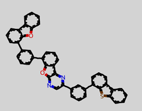 c1cc(-c2cccc3c2oc2ccccc23)cc(-c2cccc3c2oc2ncc(-c4cccc(-c5cccc6c5sc5ccccc56)c4)nc23)c1